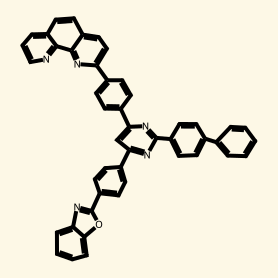 c1ccc(-c2ccc(-c3nc(-c4ccc(-c5ccc6ccc7cccnc7c6n5)cc4)cc(-c4ccc(-c5nc6ccccc6o5)cc4)n3)cc2)cc1